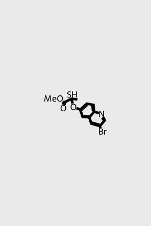 COC(=O)C(C)(S)Oc1ccc2ncc(Br)cc2c1